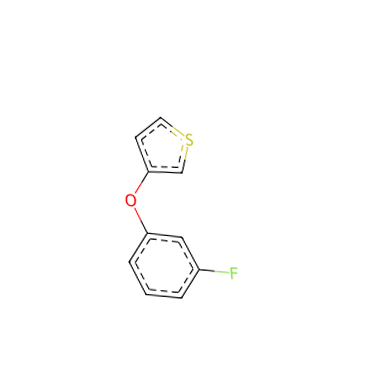 Fc1cccc(Oc2ccsc2)c1